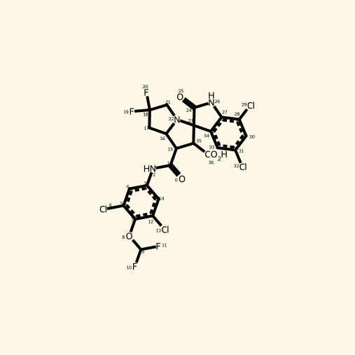 O=C(Nc1cc(Cl)c(OC(F)F)c(Cl)c1)C1C2CC(F)(F)CN2C2(C(=O)Nc3c(Cl)cc(Cl)cc32)C1C(=O)O